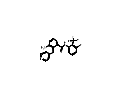 Nc1cccc(C(=O)Nc2cccc(F)c2C(F)(F)F)c1Cc1ccncc1